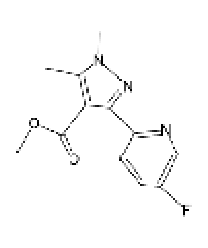 COC(=O)c1c(-c2ccc(F)cn2)nn(C)c1C